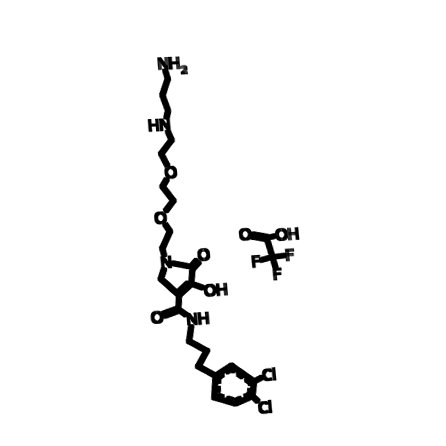 NCCCNCCOCCOCCN1CC(C(=O)NCCCc2ccc(Cl)c(Cl)c2)=C(O)C1=O.O=C(O)C(F)(F)F